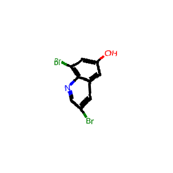 Oc1cc(Br)c2ncc(Br)cc2c1